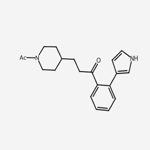 CC(=O)N1CCC(CCC(=O)c2ccccc2-c2cc[nH]c2)CC1